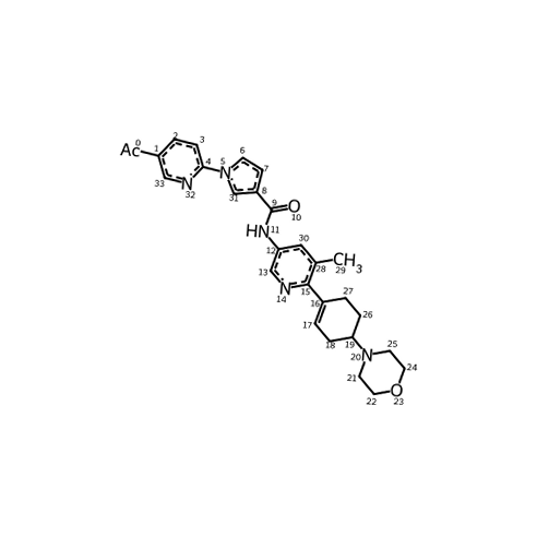 CC(=O)c1ccc(-n2ccc(C(=O)Nc3cnc(C4=CCC(N5CCOCC5)CC4)c(C)c3)c2)nc1